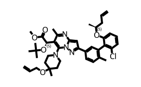 C=CCOC1(C)CCN(c2c([C@H](OC(C)(C)C)C(=O)OC)c(C)nc3cc(-c4ccc(C)c(-c5c(Cl)cccc5O[C@@H](C)CC=C)c4)nn23)CC1